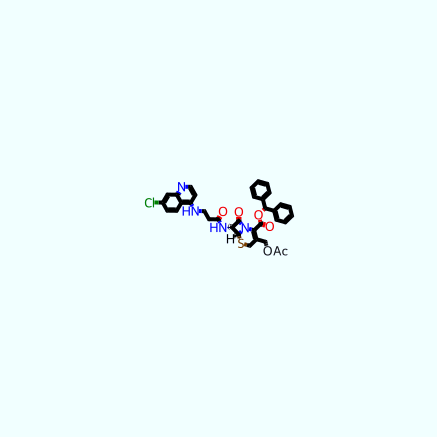 CC(=O)OCC1=C(C(=O)OC(c2ccccc2)c2ccccc2)N2C(=O)[C@@H](NC(=O)CCNc3ccnc4cc(Cl)ccc34)[C@H]2SC1